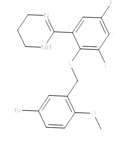 COc1ccc(Br)cc1CSc1c(F)cc(F)cc1C1=NCCCN1